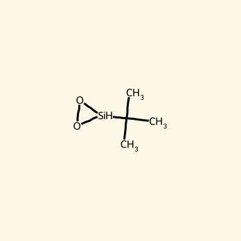 CC(C)(C)[SiH]1OO1